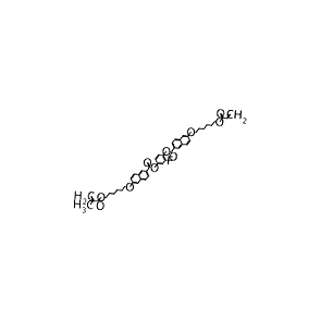 C=CC(=O)OCCCCCCOc1ccc2cc(C(=O)Oc3ccc(OC(=O)c4ccc5cc(OCCCCCCOC(=O)C(=C)C)ccc5c4)cc3F)ccc2c1